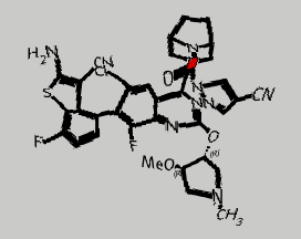 CO[C@@H]1CN(C)C[C@H]1Oc1nc(N2CC3CCC(C2)N3C(=O)n2cc(C#N)cn2)c2cc(Cl)c(-c3ccc(F)c4sc(N)c(C#N)c34)c(F)c2n1